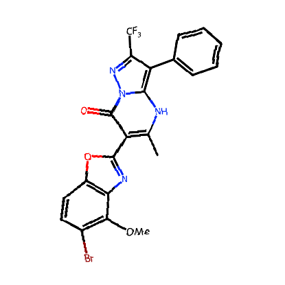 COc1c(Br)ccc2oc(-c3c(C)[nH]c4c(-c5ccccc5)c(C(F)(F)F)nn4c3=O)nc12